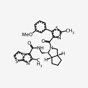 COc1cccc(-c2sc(C)nc2C(=O)N2C[C@@H]3CCC[C@@H]3[C@H]2CNC(=O)c2c(C)nc3sccn23)c1